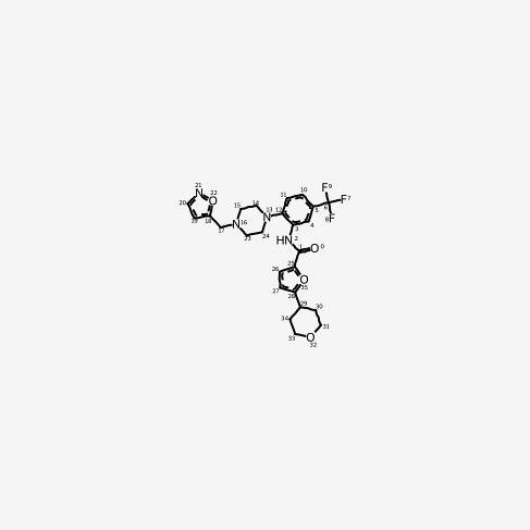 O=C(Nc1cc(C(F)(F)F)ccc1N1CCN(Cc2ccno2)CC1)c1ccc(C2CCOCC2)o1